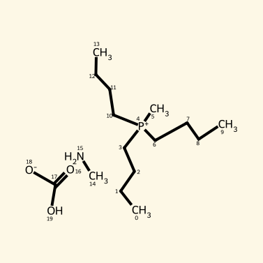 CCCC[P+](C)(CCCC)CCCC.CN.O=C([O-])O